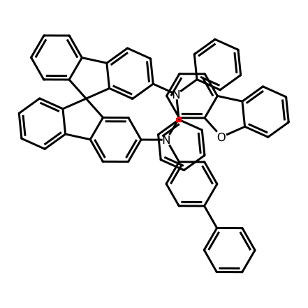 c1ccc(-c2ccc(N(c3ccc4c(c3)C3(c5ccccc5-c5ccc(N(c6ccccc6)c6ccccc6)cc53)c3ccccc3-4)c3cccc4c3oc3ccccc34)cc2)cc1